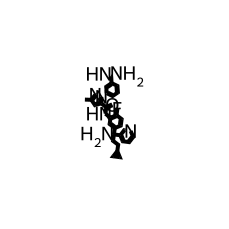 Cc1cc(C(=O)Nc2cc(C(N)(CCC3CC3)c3cccnc3)ccc2F)n(-c2cccc(C(=N)N)c2)n1